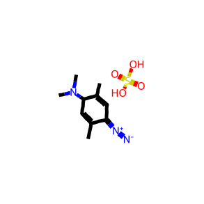 CC1=CC(N(C)C)C(C)=CC1=[N+]=[N-].O=S(=O)(O)O